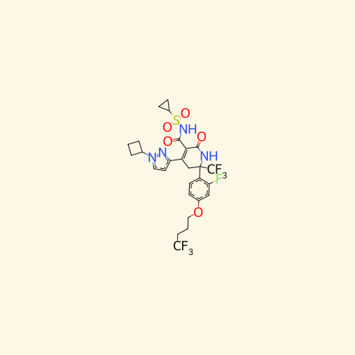 O=C1NC(c2ccc(OCCCC(F)(F)F)cc2F)(C(F)(F)F)CC(c2ccn(C3CCC3)n2)=C1C(=O)NS(=O)(=O)C1CC1